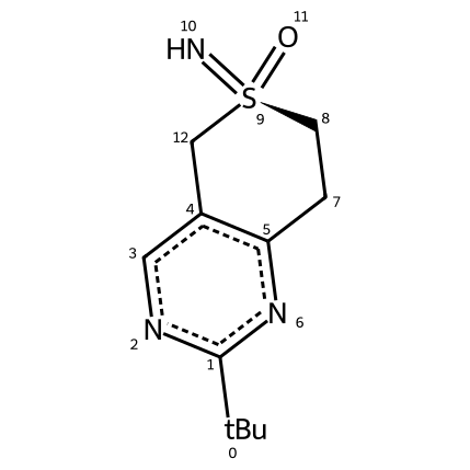 CC(C)(C)c1ncc2c(n1)CC[S@@](=N)(=O)C2